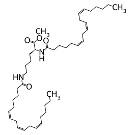 CCCCC/C=C\C/C=C\C/C=C\CCCCC(=O)NCCCC[C@H](NC(=O)CCCC/C=C\C/C=C\C/C=C\CCCCC)C(=O)OC